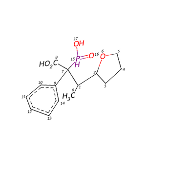 CC(C1CCCO1)C(C(=O)O)(c1ccccc1)[PH](=O)O